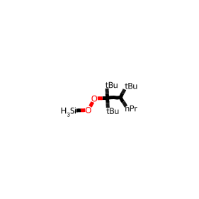 CCCC(C(C)(C)C)C(OO[SiH3])(C(C)(C)C)C(C)(C)C